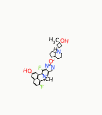 C#Cc1c(F)ccc2cc(O)cc(-c3ncc4cnc(OC[C@]56CCC[C@H]5N(C5CC(C)(O)C5)CCC6)nc4c3F)c12